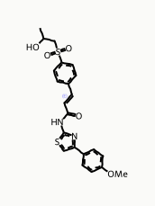 COc1ccc(-c2csc(NC(=O)/C=C/c3ccc(S(=O)(=O)CC(C)O)cc3)n2)cc1